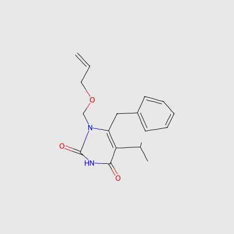 C=CCOCn1c(Cc2ccccc2)c(C(C)C)c(=O)[nH]c1=O